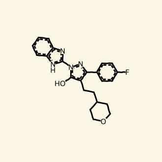 Oc1c(CCC2CCOCC2)c(-c2ccc(F)cc2)nn1-c1nc2ccccc2[nH]1